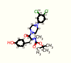 CN(C(=O)OC(C)(C)C)[C@@H](Cc1ccc(O)cc1)C(=O)N1CCN(c2ccc(Cl)c(Cl)c2)CC1